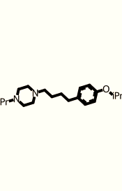 CC(C)Oc1ccc(CCCCN2CCN(C(C)C)CC2)cc1